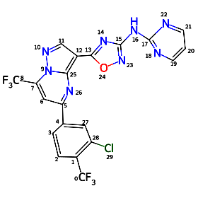 FC(F)(F)c1ccc(-c2cc(C(F)(F)F)n3ncc(-c4nc(Nc5ncccn5)no4)c3n2)cc1Cl